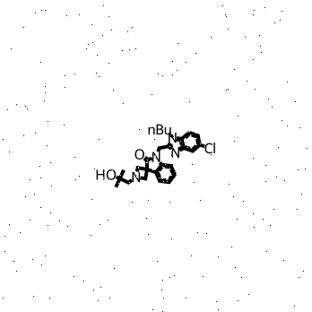 CCCCn1c(CN2C(=O)C3(CN(CC(C)(C)O)C3)c3ccccc32)nc2cc(Cl)ccc21